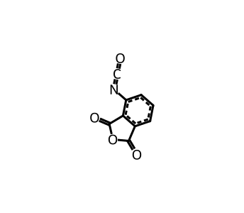 O=C=Nc1cccc2c1C(=O)OC2=O